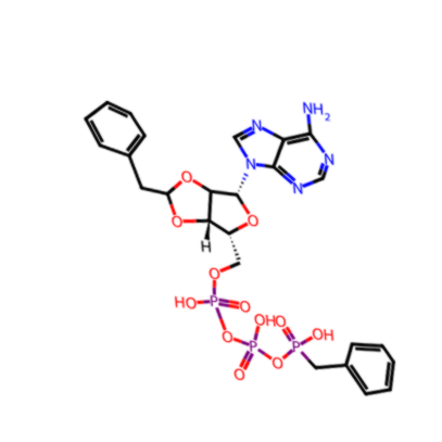 Nc1ncnc2c1ncn2[C@@H]1O[C@H](COP(=O)(O)OP(=O)(O)OP(=O)(O)Cc2ccccc2)[C@@H]2OC(Cc3ccccc3)OC21